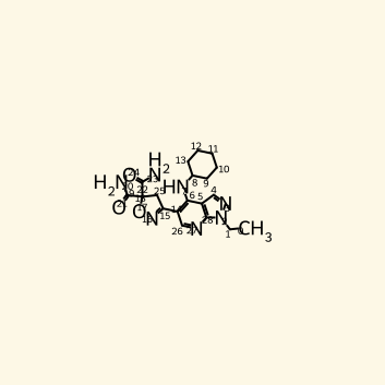 CCn1ncc2c(NC3CCCCC3)c(C3=NOC(C(N)=O)(C(N)=O)C3)cnc21